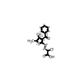 Cc1sc(N=NC(Cl)C(=O)O)c(C(=O)c2ccccc2)c1C